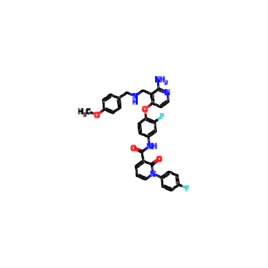 COc1ccc(CNCc2c(Oc3ccc(NC(=O)c4cccn(-c5ccc(F)cc5)c4=O)cc3F)ccnc2N)cc1